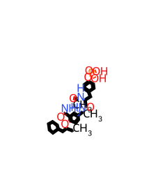 CCC(CC1CCCCC1)Oc1ccc(C(C)NC(=O)C(Cc2ccc(OP(=O)(O)O)cc2)NC(C)=O)cc1C(N)=O